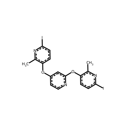 Cc1nc(I)ccc1Oc1ccnc(Oc2ccc(I)nc2C)c1